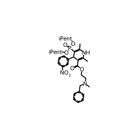 CCCC(C)OP(=O)(OC(C)CCC)C1=C(C)NC(C)=C(C(=O)OCCN(C)Cc2ccccc2)C1c1cccc([N+](=O)[O-])c1